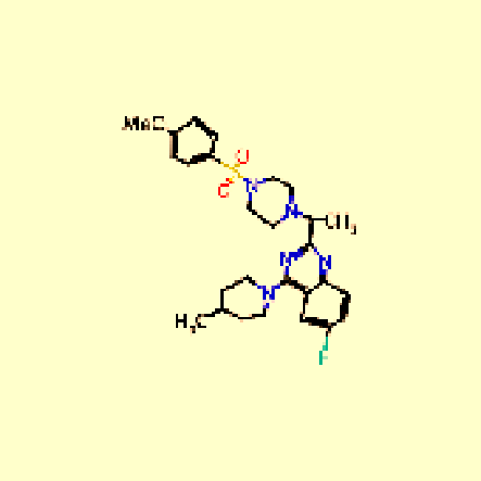 COc1ccc(S(=O)(=O)N2CCN(C(C)c3nc(N4CCC(C)CC4)c4cc(F)ccc4n3)CC2)cc1